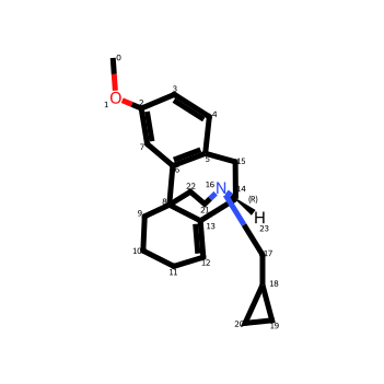 COc1ccc2c(c1)C13CCCC=C1[C@@H](C2)N(CC1CC1)CC3